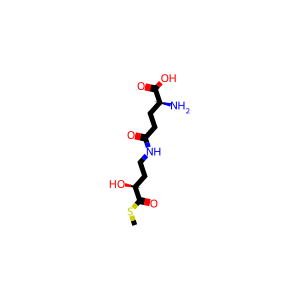 CSC(=O)[C@@H](O)CCNC(=O)CC[C@H](N)C(=O)O